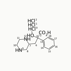 Cl.Cl.Cl.O=C(O)C(O)(CC1CNCCN1)c1ccccc1